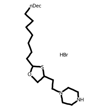 Br.CCCCCCCCCCCCCCCCCC1OCC(CCN2CCNCC2)S1